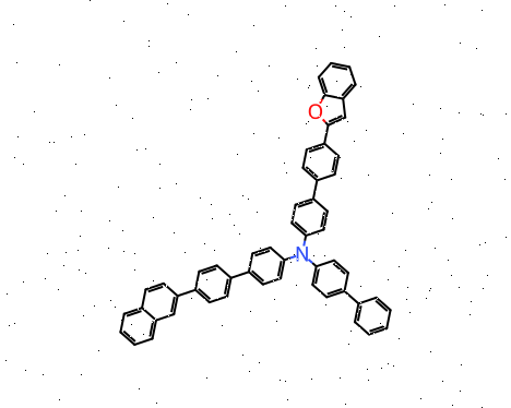 c1ccc(-c2ccc(N(c3ccc(-c4ccc(-c5ccc6ccccc6c5)cc4)cc3)c3ccc(-c4ccc(-c5cc6ccccc6o5)cc4)cc3)cc2)cc1